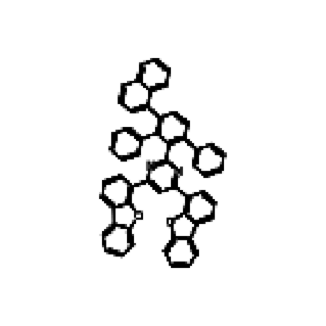 c1ccc(-c2ccc(-c3cccc4ccccc34)c(-c3ccccc3)c2-c2nc(-c3cccc4c3oc3ccccc34)cc(-c3cccc4c3oc3ccccc34)n2)cc1